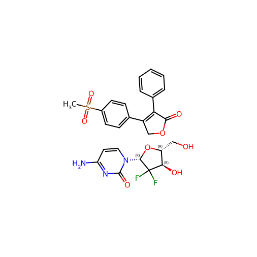 CS(=O)(=O)c1ccc(C2=C(c3ccccc3)C(=O)OC2)cc1.Nc1ccn([C@@H]2O[C@H](CO)[C@@H](O)C2(F)F)c(=O)n1